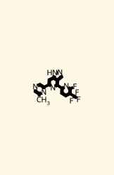 Cc1cncc(-c2cc3[nH]ncc3c(-c3ccc(C(F)(F)F)c(F)n3)n2)n1